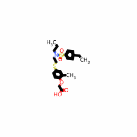 CCCN(CCSc1ccc(OCC(=O)O)c(C)c1)S(=O)(=O)c1ccc(CC)cc1